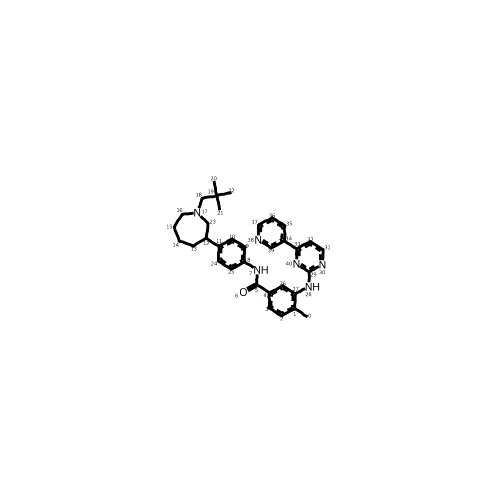 Cc1ccc(C(=O)Nc2ccc(C3CCCCN(CC(C)(C)C)C3)cc2)cc1Nc1nccc(-c2cccnc2)n1